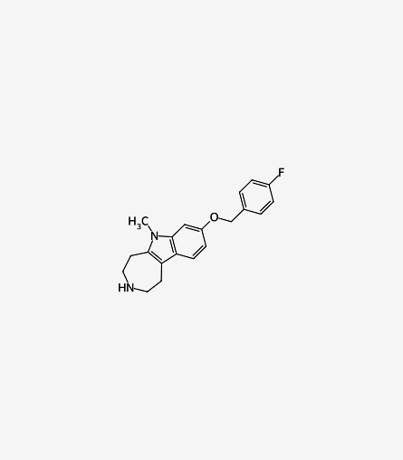 Cn1c2c(c3ccc(OCc4ccc(F)cc4)cc31)CCNCC2